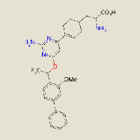 COc1cc(-c2ccccc2)ccc1C(Oc1cc(C2=CCC(CC(N)C(=O)O)CC2)nc(N)n1)C(F)(F)F